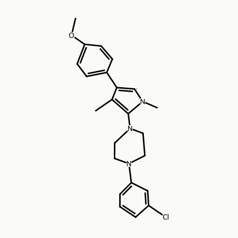 COc1ccc(-c2[c]n(C)c(N3CCN(c4cccc(Cl)c4)CC3)c2C)cc1